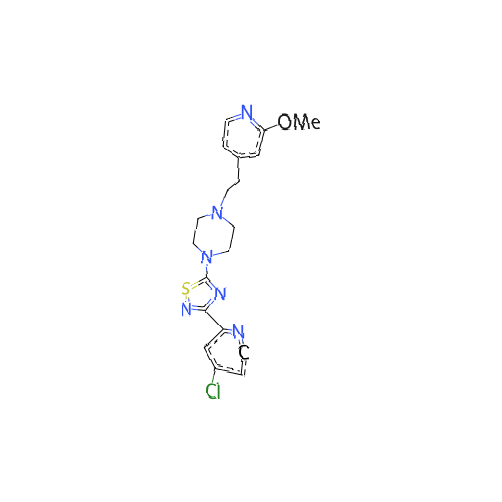 COc1cc(CCN2CCN(c3nc(-c4cc(Cl)ccn4)ns3)CC2)ccn1